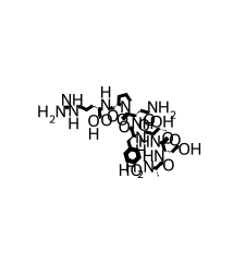 C[C@H](N)C(=O)N[C@@H](CC(=O)O)C(=O)N[C@H](C(=O)N[C@@H](Cc1ccc(O)cc1)C(=O)N[C@@H](CC(N)=O)C(=O)N1CCC[C@H]1C(=O)N[C@@H](CCCNC(=N)N)C(=O)O)[C@@H](C)O